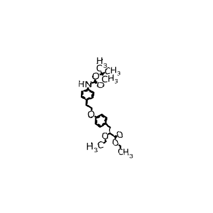 CCOC(=O)[C@H](Cc1ccc(OCCc2ccc(NC(=O)OC(C)(C)C)cc2)cc1)OCC